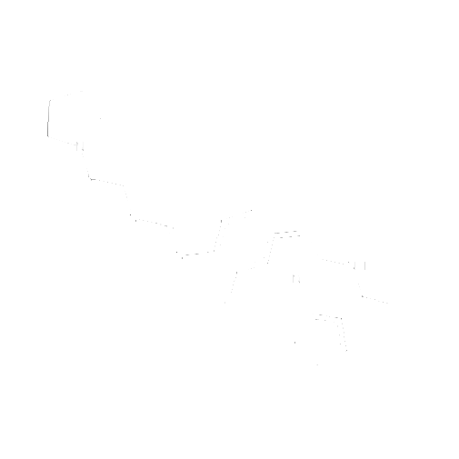 Cc1c2nc(NCC(=O)N3CCCC3)sc2cc2sc(NC(c3ccco3)C(F)(F)F)nc12